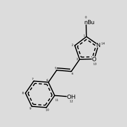 CCCCc1cc(/C=C/c2ccccc2O)on1